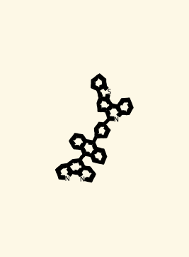 c1cnc2c(c1)cc(-c1c3ccccc3c(-c3ccc(-c4nc5ccccc5c5c4ccc4c6ccccc6sc45)cc3)c3ccccc13)c1cccnc12